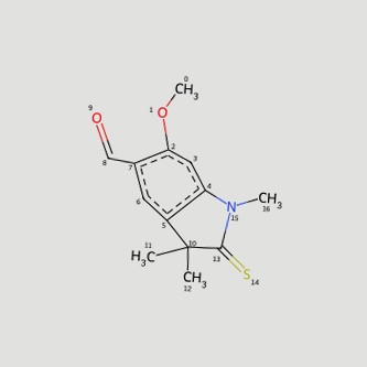 COc1cc2c(cc1C=O)C(C)(C)C(=S)N2C